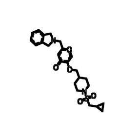 O=c1cc(CN2Cc3ccccc3C2)occ1OCC1CCN(S(=O)(=O)CC2CC2)CC1